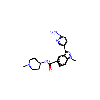 CN1CCC(NC(=O)c2ccc3c(c2)c(-c2ccc(N)nc2)nn3C)CC1